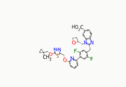 CC1(COc2nnc(COc3cccc(-c4cc(F)c(Cc5nc6ccc(C(=O)O)cc6n5CC5CCO5)cc4F)n3)s2)CC1